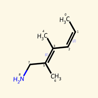 C/C=C\C(C)=C(/C)CN